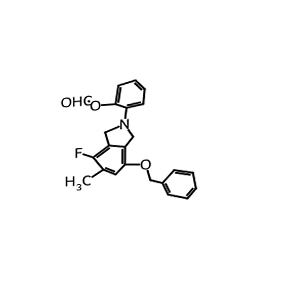 Cc1cc(OCc2ccccc2)c2c(c1F)CN(c1ccccc1OC=O)C2